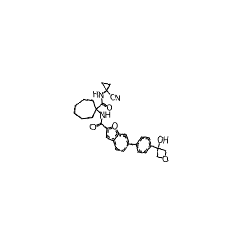 N#CC1(NC(=O)C2(NC(=O)c3cc4ccc(-c5ccc(C6(O)COC6)cc5)cc4o3)CCCCCC2)CC1